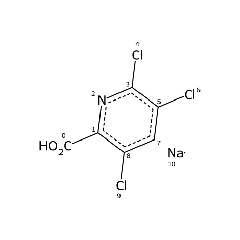 O=C(O)c1nc(Cl)c(Cl)cc1Cl.[Na]